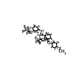 CCc1ccc(Oc2ccnc(N(Cc3cccc(OC(F)(F)C(F)F)c3)C[C@@H](O)C(F)(F)F)n2)cc1